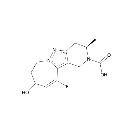 C[C@@H]1Cc2nn3c(c2CN1C(=O)O)C(F)=CC(O)CC3